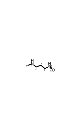 CNCCC[SiH]=O